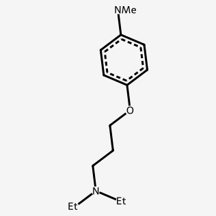 CCN(CC)CCCOc1ccc(NC)cc1